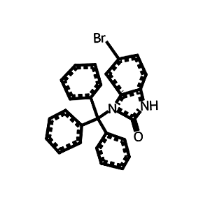 O=c1[nH]c2ccc(Br)cc2n1C(c1ccccc1)(c1ccccc1)c1ccccc1